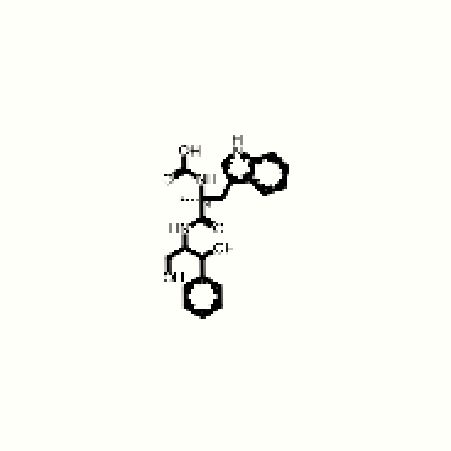 C[C@@](Cc1c[nH]c2ccccc12)(NC(=O)O)C(=O)NC(CO)C(O)c1ccccc1